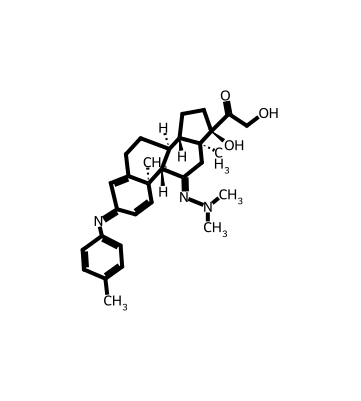 Cc1ccc(/N=C2\C=C[C@@]3(C)C(=C2)CC[C@@H]2[C@@H]3/C(=N/N(C)C)C[C@@]3(C)[C@H]2CC[C@]3(O)C(=O)CO)cc1